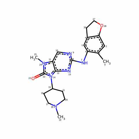 Cc1cc2c(cc1Nc1ncc3c(n1)n(C1CCN(C)CC1)c(=O)n3C)CCO2